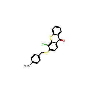 COc1ccc(CSc2ccc3c(=O)c4ccccc4sc3c2Cl)cc1